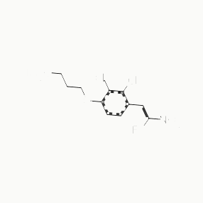 CC/C(=C\c1ccc(OCCCC(=O)O)c(Cl)c1Cl)[N+](=O)[O-]